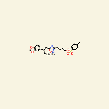 CCOC(=O)CC(Cc1nc(CCCCOS(=O)(=O)c2ccc(C)cc2)no1)c1ccc2c(c1)OCO2